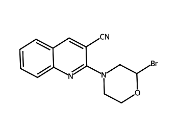 N#Cc1cc2ccccc2nc1N1CCOC(Br)C1